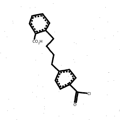 O=C(Cl)c1ccc(CCCCc2ccccc2C(=O)O)cc1